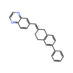 C(=C1/CCc2cc(-c3ccccc3)ccc2C1)/c1ccc2nccnc2c1